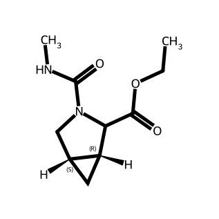 CCOC(=O)C1[C@@H]2C[C@@H]2CN1C(=O)NC